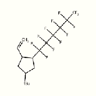 C=CC1CC(C(C)(C)C)CC1C(F)(F)C(F)(F)C(F)(F)C(F)(F)C(F)(F)C(F)(F)F